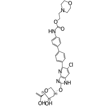 C=C(O)[C@H]1OC[C@H](Oc2nc3nc(-c4ccc(-c5ccc(NC(=O)OCCN6CCOCC6)cc5)cc4)c(Cl)cc3[nH]2)C[C@@H]1O